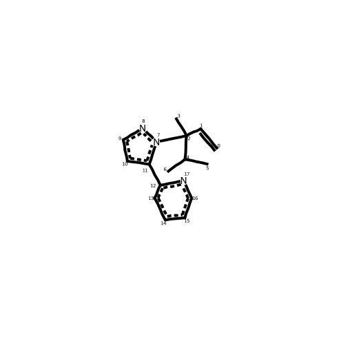 C=CC(C)(C(C)C)n1nccc1-c1ccccn1